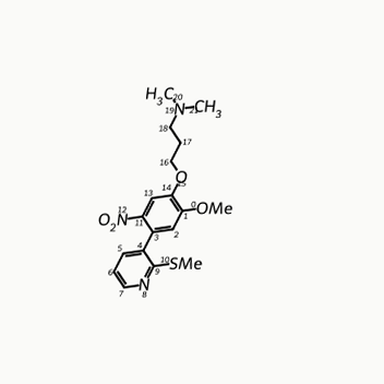 COc1cc(-c2cccnc2SC)c([N+](=O)[O-])cc1OCCCN(C)C